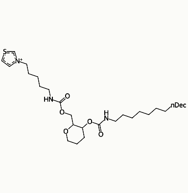 CCCCCCCCCCCCCCCCCNC(=O)OC1CCCOC1COC(=O)NCCCCC[n+]1ccsc1